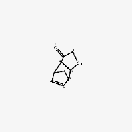 O=C1COC2C3C=CC(C3)C12